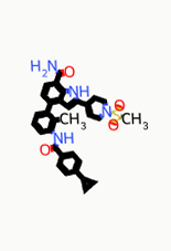 Cc1c(NC(=O)c2ccc(C3CC3)cc2)cccc1-c1ccc(C(N)=O)c2[nH]c(C3=CCN(S(C)(=O)=O)CC3)cc12